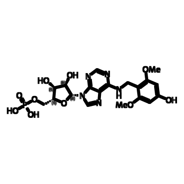 COc1cc(O)cc(OC)c1CNc1ncnc2c1ncn2[C@@H]1O[C@H](COP(=O)(O)O)[C@@H](O)[C@H]1O